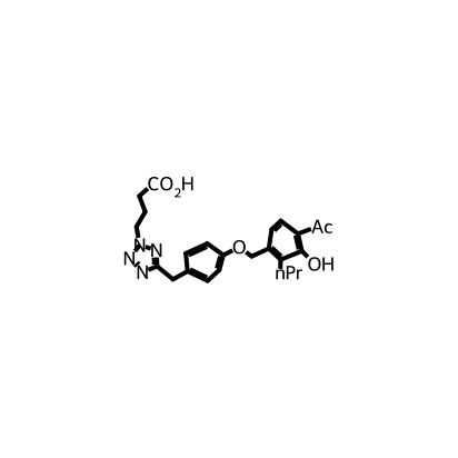 CCCc1c(COc2ccc(Cc3nnn(CCCC(=O)O)n3)cc2)ccc(C(C)=O)c1O